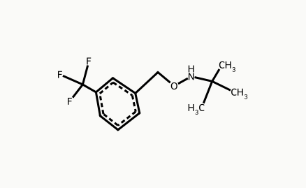 CC(C)(C)NOCc1cccc(C(F)(F)F)c1